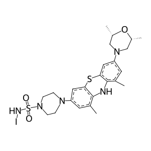 Cc1cc(N2CCN(S(=O)(=O)NI)CC2)cc2c1Nc1c(C)cc(N3C[C@@H](C)O[C@@H](C)C3)cc1S2